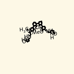 COc1nc(-c2cccc(-c3cccc(-c4cc5c(cn4)c(CNCC4CCC(=O)N4)cn5C)c3Cl)c2Cl)ccc1CNCC1CCC(=O)N1